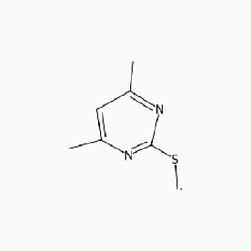 [CH2]Sc1nc(C)cc(C)n1